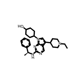 CCN1CCC(c2cn(C3CCC(O)CC3)c3nc(N[C@@H](C)c4ccccc4)ncc23)CC1